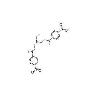 CCN(CCNc1ccc([N+](=O)[O-])cc1)CCNc1ccc([N+](=O)[O-])cc1